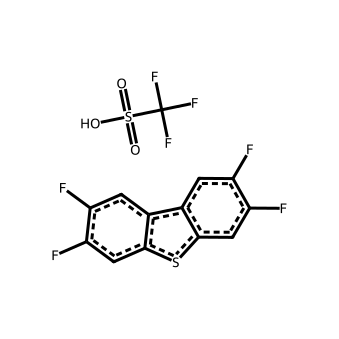 Fc1cc2sc3cc(F)c(F)cc3c2cc1F.O=S(=O)(O)C(F)(F)F